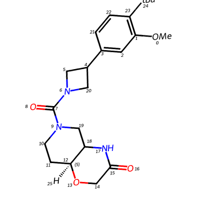 COc1cc(C2CN(C(=O)N3CC[C@@H]4OCC(=O)NC4C3)C2)ccc1C(C)(C)C